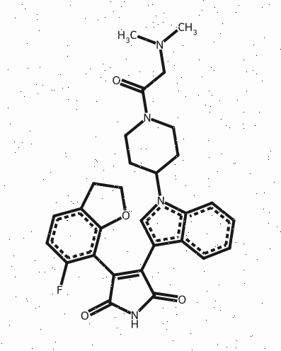 CN(C)CC(=O)N1CCC(n2cc(C3=C(c4c(F)ccc5c4OCC5)C(=O)NC3=O)c3ccccc32)CC1